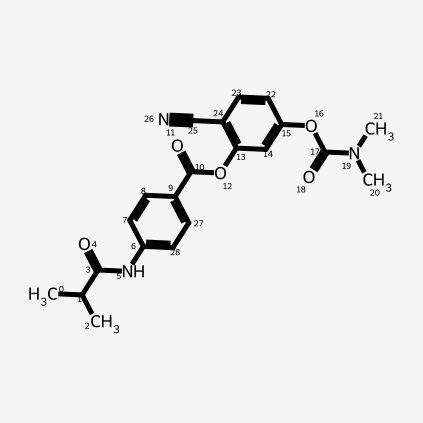 CC(C)C(=O)Nc1ccc(C(=O)Oc2cc(OC(=O)N(C)C)ccc2C#N)cc1